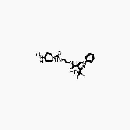 O=C(NCCNC(=O)N1CCC(NCl)CC1)c1cn(-c2ccccc2)nc1C(F)(F)F